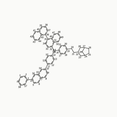 c1ccc(-c2ccc3ccc(-c4ccc(N(c5ccc(CCC6CC7CCC(C6)C7)cc5)c5ccc(-c6cccc7ccccc67)c6ccccc56)cc4)cc3c2)cc1